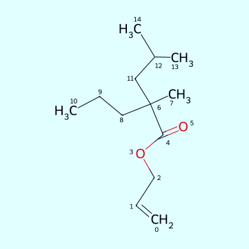 C=CCOC(=O)C(C)(CCC)CC(C)C